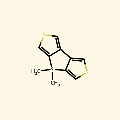 C[Si]1(C)c2cscc2-c2cscc21